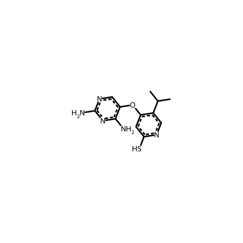 CC(C)c1cnc(S)cc1Oc1cnc(N)nc1N